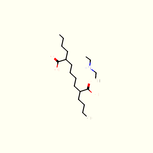 CCCCC(CCCCC(CCCC)C(=O)O)C(=O)O.CCNCC